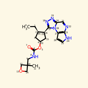 CC[C@@H]1C[C@H](OC(=O)NCC2(C)COC2)C[C@@H]1c1nnc2cnc3[nH]ccc3n12